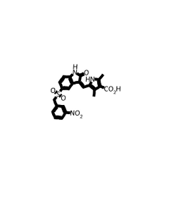 Cc1[nH]c(/C=C2\C(=O)Nc3ccc(S(=O)(=O)Cc4cccc([N+](=O)[O-])c4)cc32)c(C)c1C(=O)O